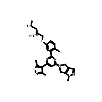 CNC[C@@H](O)COc1ccc(F)c(-c2nc(-c3c(C)noc3C)cc(N3Cc4cnn(C)c4C3)n2)c1